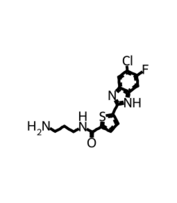 NCCCNC(=O)c1ccc(-c2nc3cc(Cl)c(F)cc3[nH]2)s1